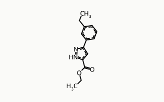 CCOC(=O)c1cc(-c2cccc(CC)c2)n[nH]1